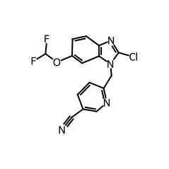 N#Cc1ccc(Cn2c(Cl)nc3ccc(OC(F)F)cc32)nc1